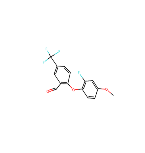 COc1ccc(Oc2ccc(C(F)(F)F)cc2C=O)c(F)c1